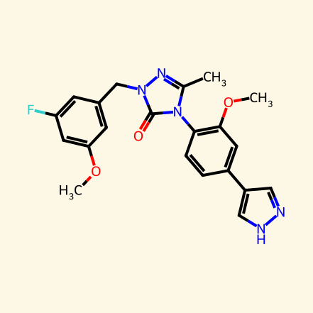 COc1cc(F)cc(Cn2nc(C)n(-c3ccc(-c4cn[nH]c4)cc3OC)c2=O)c1